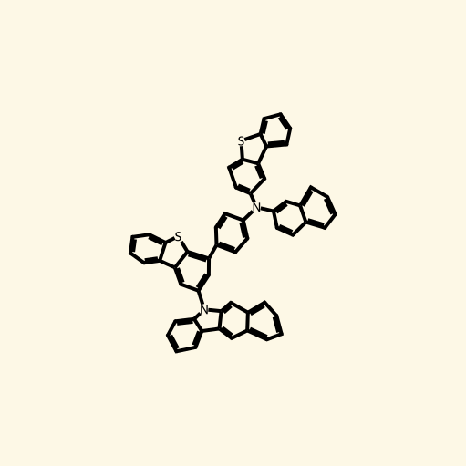 c1ccc2cc(N(c3ccc(-c4cc(-n5c6ccccc6c6cc7ccccc7cc65)cc5c4sc4ccccc45)cc3)c3ccc4sc5ccccc5c4c3)ccc2c1